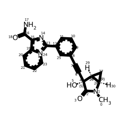 CN1C(=O)[C@@](O)(C#Cc2cccc(-c3nc(C(N)=O)c4ccccn34)c2)[C@H]2C[C@H]21